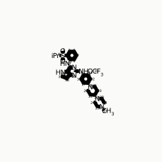 CC(C)S(=O)(=O)c1ccccc1Nc1nc(Nc2ccc(N3CCC(N4CCN(C)CC4)CC3)cc2OC(F)(F)F)nc2cc[nH]c12